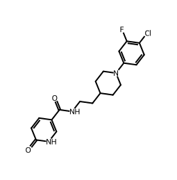 O=C(NCCC1CCN(c2ccc(Cl)c(F)c2)CC1)c1ccc(=O)[nH]c1